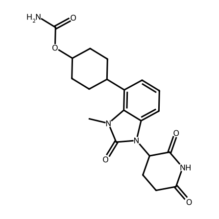 Cn1c(=O)n(C2CCC(=O)NC2=O)c2cccc(C3CCC(OC(N)=O)CC3)c21